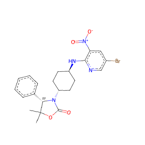 CC1(C)OC(=O)N([C@H]2CC[C@H](Nc3ncc(Br)cc3[N+](=O)[O-])CC2)[C@H]1c1ccccc1